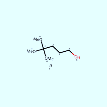 COC(CCCO)(OC)OC.[Ti]